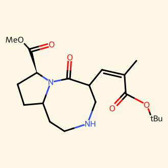 COC(=O)[C@@H]1CCC2CCNCC(/C=C(/C)C(=O)OC(C)(C)C)C(=O)N21